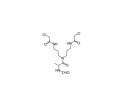 CC(NC=O)C(=O)N(CCCNC(=O)CCl)CCCNC(=O)CCl